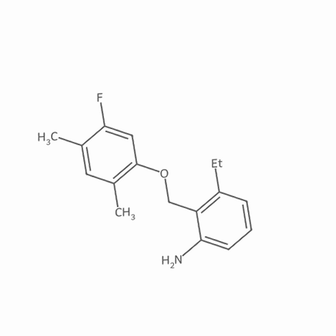 CCc1cccc(N)c1COc1cc(F)c(C)cc1C